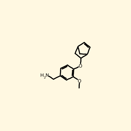 COc1cc(CN)ccc1OC1CC2C=CC1C2